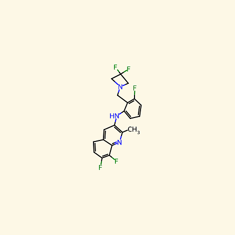 Cc1nc2c(F)c(F)ccc2cc1Nc1cccc(F)c1CN1CC(F)(F)C1